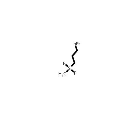 CCCCCC[Si](C)(F)F